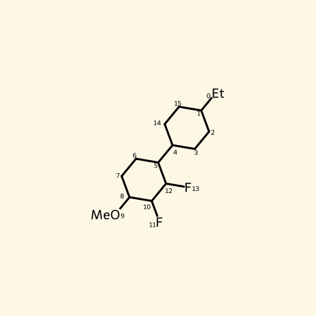 CCC1CCC(C2CCC(OC)C(F)C2F)CC1